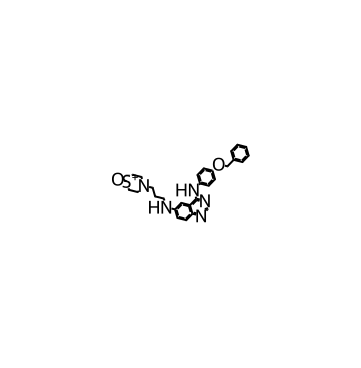 [O-][S+]1CCN(CCCNc2ccc3ncnc(Nc4ccc(OCc5ccccc5)cc4)c3c2)CC1